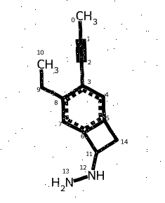 CC#Cc1cc2c(cc1CC)C(NN)C2